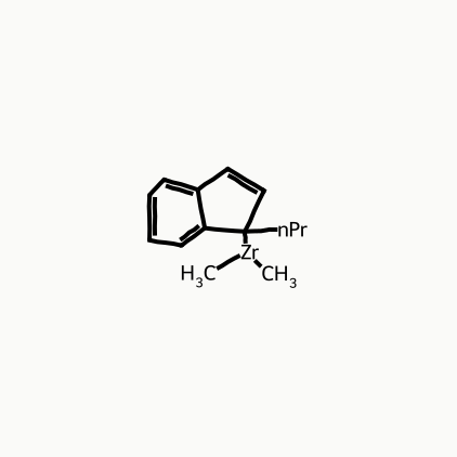 CCC[C]1([Zr]([CH3])[CH3])C=Cc2ccccc21